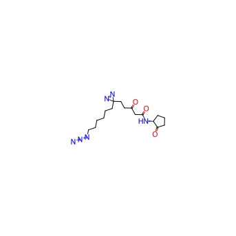 [N-]=[N+]=NCCCCCCC1(CCC(=O)CC(=O)N[C@H]2CCCC2=O)N=N1